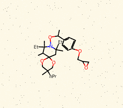 CCCC1(C)COC2(CC(C)(CC)N(OC(C)c3ccc(OCC4CO4)cc3)C(C)(CC)C2C)OC1